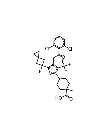 CC1(C(=O)O)CCC(n2nc(C3(F)CC4(CC4)C3)c(CC(=O)c3c(Cl)cccc3Cl)c2C(F)(F)F)CC1